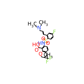 CCN(CC)CC=Cc1cc(F)ccc1S(=O)(=O)Nc1ccc2c(c1C(=O)O)OCC1(C)C2C1(F)F